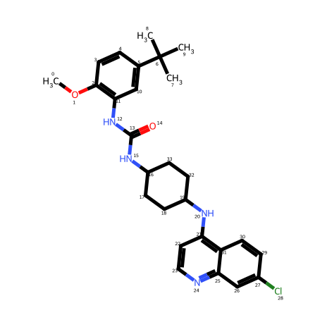 COc1ccc(C(C)(C)C)cc1NC(=O)NC1CCC(Nc2ccnc3cc(Cl)ccc23)CC1